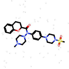 CN1CCN(N(C(=O)C2CCc3ccccc3O2)c2ccc(N3CCN(S(C)(=O)=O)CC3)cc2)CC1